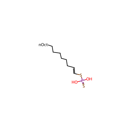 CCCCCCCCCCCCCCC=CSP(O)(O)=S